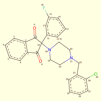 O=C1c2ccccc2C(=O)C1(c1cccc(F)c1)N1CCN(Cc2ccccc2Cl)CC1